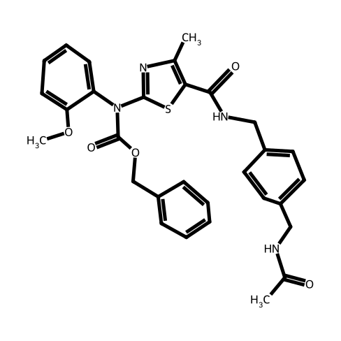 COc1ccccc1N(C(=O)OCc1ccccc1)c1nc(C)c(C(=O)NCc2ccc(CNC(C)=O)cc2)s1